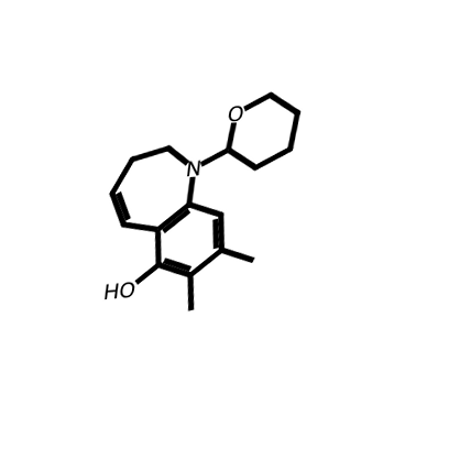 Cc1cc2c(c(O)c1C)C=CCCN2C1CCCCO1